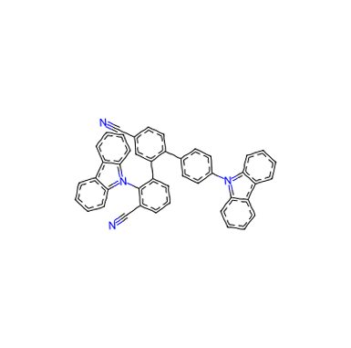 N#Cc1ccc(-c2ccc(-n3c4ccccc4c4ccccc43)cc2)c(-c2cccc(C#N)c2-n2c3ccccc3c3ccccc32)c1